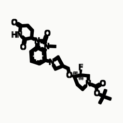 Cn1c(=O)n(C2CCC(=O)NC2=O)c2cccc(N3CC(CO[C@@H]4CCN(C(=O)OC(C)(C)C)C[C@@H]4F)C3)c21